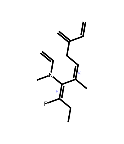 C=CC(=C)C/C=C(C)\C(=C(\F)CC)N(C)C=C